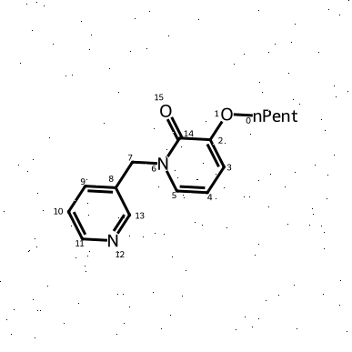 CCCCCOc1cccn(Cc2cccnc2)c1=O